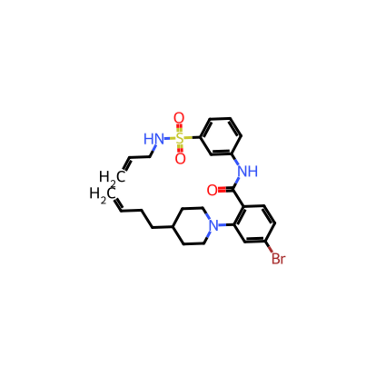 C=CCCC1CCN(c2cc(Br)ccc2C(=O)Nc2cccc(S(=O)(=O)NCC=C)c2)CC1